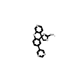 NC1=NC2(CO1)c1ccncc1Oc1ccc(-c3cncnc3)cc12